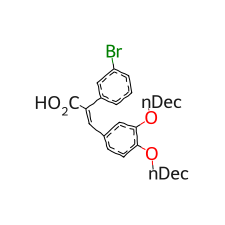 CCCCCCCCCCOc1ccc(C=C(C(=O)O)c2cccc(Br)c2)cc1OCCCCCCCCCC